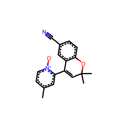 Cc1cc[n+]([O-])c(C2=CC(C)(C)Oc3ccc(C#N)cc32)c1